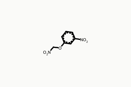 O=[N+]([O-])COc1cccc([N+](=O)[O-])c1